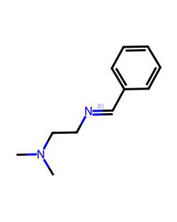 CN(C)CC/N=C/c1ccccc1